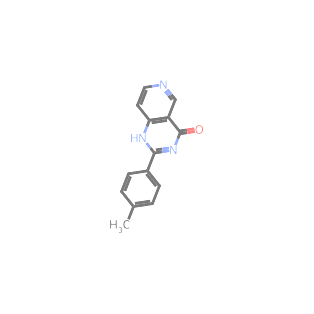 Cc1ccc(-c2nc(=O)c3cnccc3[nH]2)cc1